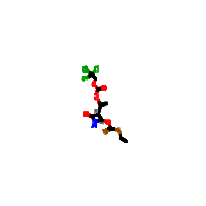 CCSC(=S)O[C@H]1NC(=O)[C@H]1C(C)OC(=O)OCC(Cl)(Cl)Cl